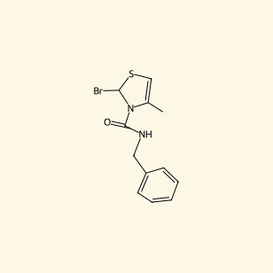 CC1=CSC(Br)N1C(=O)NCc1ccccc1